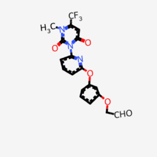 Cn1c(C(F)(F)F)cc(=O)n(-c2cccc(Oc3cccc(OCC=O)c3)n2)c1=O